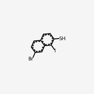 Sc1ccc2ccc(Br)cc2c1I